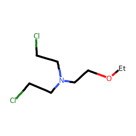 CCOCCN(CCCl)CCCl